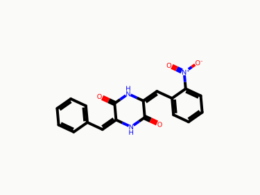 O=c1[nH]c(=Cc2ccccc2[N+](=O)[O-])c(=O)[nH]c1=Cc1ccccc1